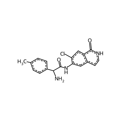 Cc1ccc(C(N)C(=O)Nc2cc3cc[nH]c(=O)c3cc2Cl)cc1